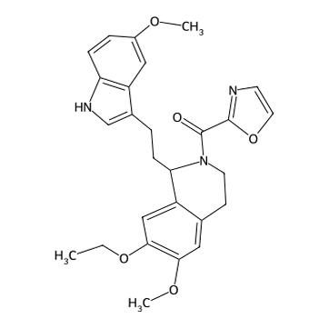 CCOc1cc2c(cc1OC)CCN(C(=O)c1ncco1)C2CCc1c[nH]c2ccc(OC)cc12